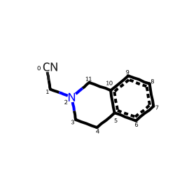 N#CCN1CCc2ccccc2C1